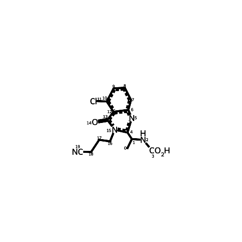 CC(NC(=O)O)c1nc2cccc(Cl)c2c(=O)n1CCCC#N